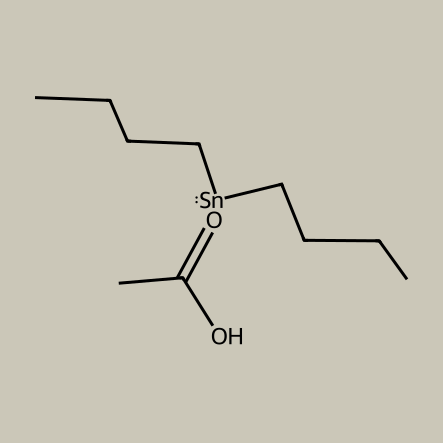 CC(=O)O.CCC[CH2][Sn][CH2]CCC